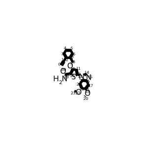 C#Cc1ccccc1COc1cc(-n2cnc3cc(OC)c(OC)cc32)sc1C(N)=O